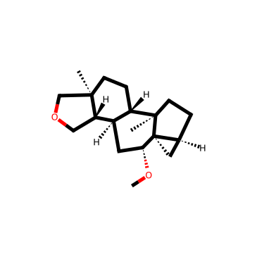 CO[C@@H]1C[C@H]2[C@@H]3COC[C@@]3(C)CC[C@@H]2[C@@]2(C)CC[C@H]3C[C@]312